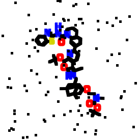 Cc1c(-c2ccc(-c3ccc4c(c3)N(C(=O)Nc3nc5ccccc5s3)CCC4)nc2C(=O)OC(C)(C)C)cnn1CC12CC3(C)CC(C)(C1)CC(OCCN(C)C(=O)OC(C)(C)C)(C3)C2